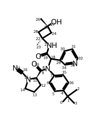 CC(C)(C)c1ccc(N(C(=O)[C@H]2CCCN2C#N)C(C(=O)N[C@]2(C)C[C@@](C)(O)C2)c2cccnc2)cc1